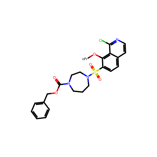 CCCOc1c(S(=O)(=O)N2CCCN(C(=O)OCc3ccccc3)CC2)ccc2ccnc(Cl)c12